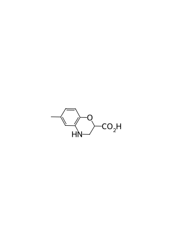 Cc1ccc2c(c1)NCC(C(=O)O)O2